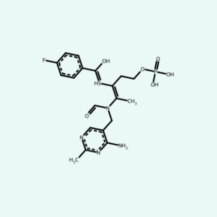 C/C(=C(CCOP(=O)(O)O)/[SH]=C(\O)c1ccc(F)cc1)N(C=O)Cc1cnc(C)nc1N